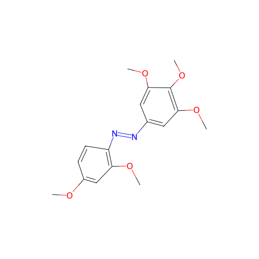 COc1ccc(N=Nc2cc(OC)c(OC)c(OC)c2)c(OC)c1